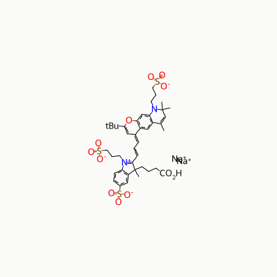 CC1=CC(C)(C)N(CCCS(=O)(=O)[O-])c2cc3c(cc21)C(=CC=CC1=[N+](CCCS(=O)(=O)[O-])c2ccc(S(=O)(=O)[O-])cc2C1(C)CCCC(=O)O)C=C(C(C)(C)C)O3.[Na+].[Na+]